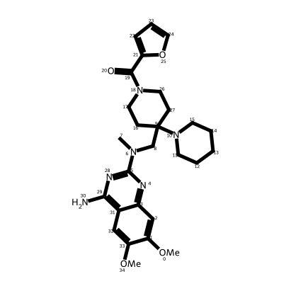 COc1cc2nc(N(C)CC3(N4CCCCC4)CCN(C(=O)c4ccco4)CC3)nc(N)c2cc1OC